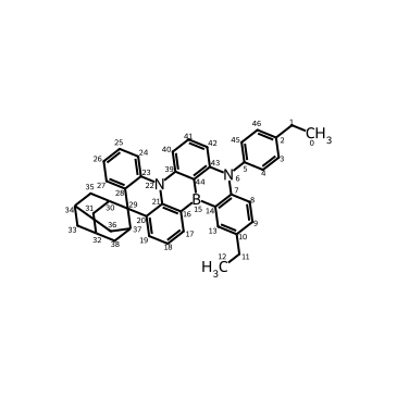 CCc1ccc(N2c3ccc(CC)cc3B3c4cccc5c4N(c4ccccc4C54C5CC6CC(C5)CC4C6)c4cccc2c43)cc1